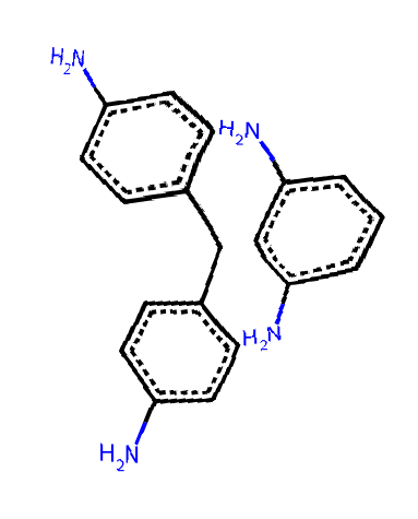 Nc1ccc(Cc2ccc(N)cc2)cc1.Nc1cccc(N)c1